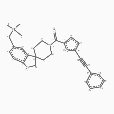 C[N+](C)(C)Cc1ccc2c(c1)C1(CCN(C(=O)c3ccc(C#Cc4ccccc4)o3)CC1)CO2